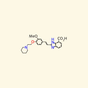 COc1cc(C=Cc2nc3cccc(C(=O)O)c3[nH]2)ccc1OCCN1CCCCC1